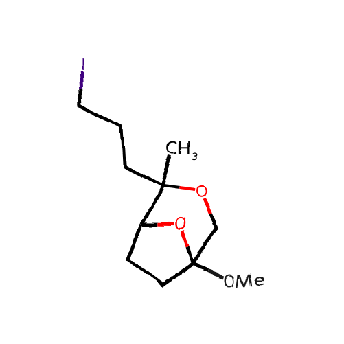 COC12CCC(O1)C(C)(CCCI)OC2